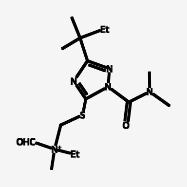 CCC(C)(C)c1nc(SC[N+](C)(C=O)CC)n(C(=O)N(C)C)n1